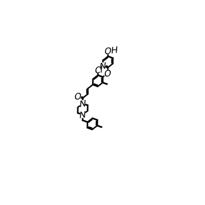 Cc1ccc(CN2CCN(C(=O)C=Cc3cc(C)c(Oc4ccc(O)cn4)c(Cl)c3)CC2)cc1